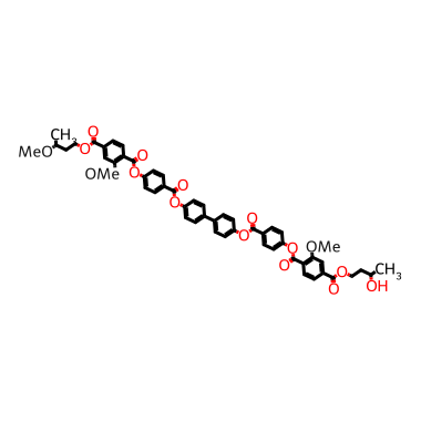 COc1cc(C(=O)OCCC(C)O)ccc1C(=O)Oc1ccc(C(=O)Oc2ccc(-c3ccc(OC(=O)c4ccc(OC(=O)c5ccc(C(=O)OCCC(C)OC)cc5OC)cc4)cc3)cc2)cc1